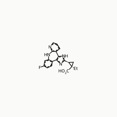 CC[C@@]1(C(=O)O)C[C@@H]1c1nc2c([nH]1)-c1cccnc1Nc1cc(F)ccc1-2